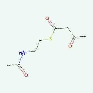 CC(=O)CC(=O)SCCNC(C)=O